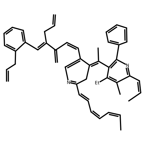 C=CC/C(=C\c1ccccc1CC=C)C(=C)/C=C\C1=CN=C(/C=C/C=C\C=C/C)C/C1=C(/C)c1c(-c2ccccc2)nc(/C=C\C)c(C)c1CC